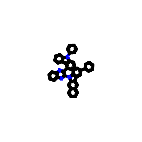 c1ccc(-c2ccc3c(c2)c2cc4ccccc4cc2n3-c2nc3ccccc3nc2-c2cccc3c2c2ccccc2n3-c2ccccc2)cc1